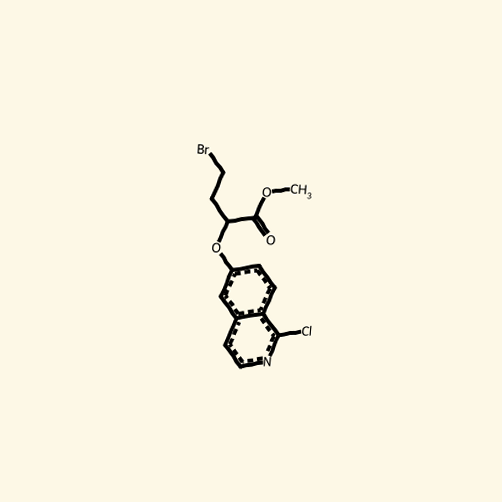 COC(=O)C(CCBr)Oc1ccc2c(Cl)nccc2c1